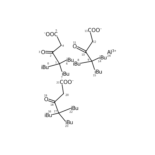 CCC(C)C(C(=O)CC(=O)[O-])(C(C)CC)C(C)CC.CCC(C)C(C(=O)CC(=O)[O-])(C(C)CC)C(C)CC.CCC(C)C(C(=O)CC(=O)[O-])(C(C)CC)C(C)CC.[Al+3]